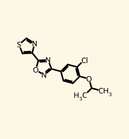 CC(C)Oc1ccc(-c2noc(-c3cscn3)n2)cc1Cl